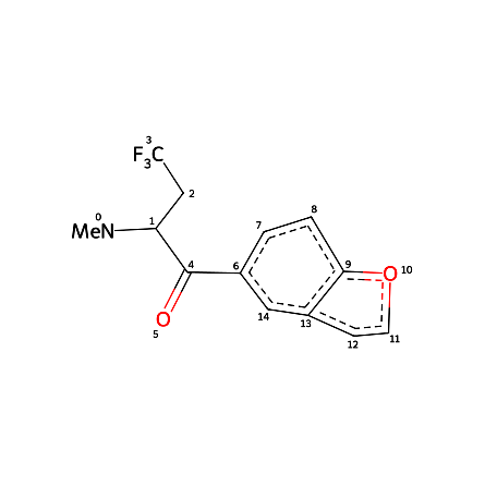 CNC(CC(F)(F)F)C(=O)c1ccc2occc2c1